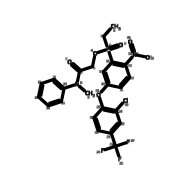 CCP(=O)(OCC(=O)N(C)c1ccccc1)c1cc(Oc2ccc(C(F)(F)F)cc2Cl)ccc1[N+](=O)[O-]